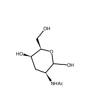 CC(=O)N[C@H]1C[C@@H](O)[C@@H](CO)OC1O